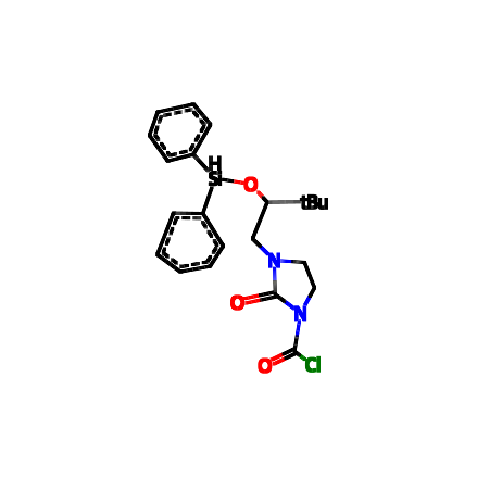 CC(C)(C)C(CN1CCN(C(=O)Cl)C1=O)O[SiH](c1ccccc1)c1ccccc1